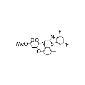 COC(=O)CC1Oc2ccc(C)cc2N(Cc2nc3c(F)cc(F)cc3s2)C1=O